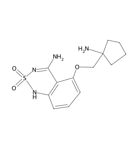 NC1=NS(=O)(=O)Nc2cccc(OCC3(N)CCCC3)c21